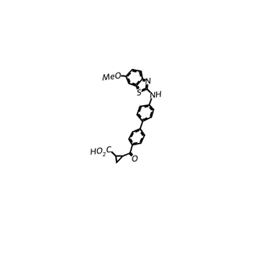 COc1ccc2nc(Nc3ccc(-c4ccc(C(=O)C5CC5C(=O)O)cc4)cc3)sc2c1